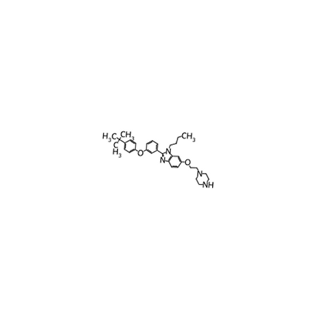 CCCCn1c(-c2cccc(Oc3ccc(C(C)(C)C)cc3)c2)nc2ccc(OCCN3CCNCC3)cc21